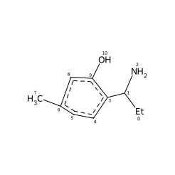 CCC(N)c1ccc(C)cc1O